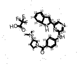 CN(C)[C@@H]1CCN(C(=O)c2ccc(Nc3cncc(-c4cc5ccccc5[nH]4)n3)cc2)C1.O=C(O)C(F)(F)F